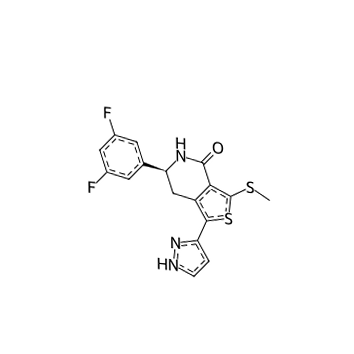 CSc1sc(-c2cc[nH]n2)c2c1C(=O)N[C@H](c1cc(F)cc(F)c1)C2